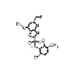 CCOc1cc(CF)nc2nc(S(=O)(=O)Nc3c(Cl)ccc(C)c3Cl)nn12